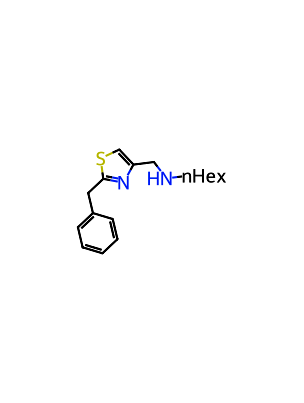 CCCCCCNCc1csc(Cc2ccccc2)n1